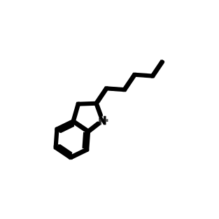 CCCCCC1Cc2ccccc2[N]1